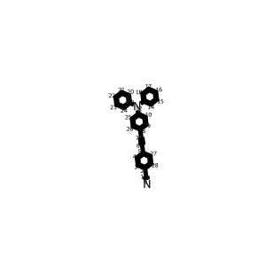 N#Cc1ccc(C#Cc2ccc(N(c3ccccc3)c3ccccc3)cc2)cc1